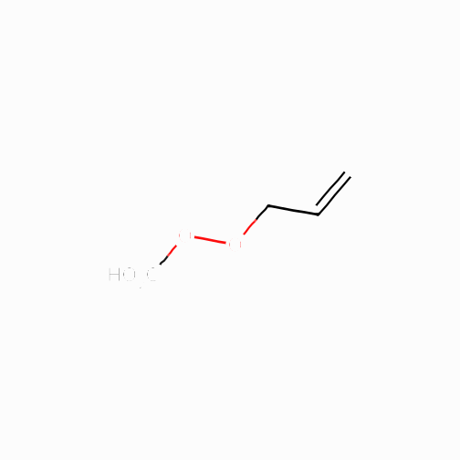 C=CCOOC(=O)O